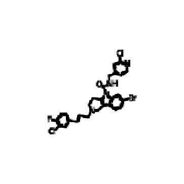 O=C(NCc1ccnc(Cl)c1)n1c2c(c3ccc(Br)cc31)CN(C/C=C/c1ccc(F)c(Cl)c1)CC2